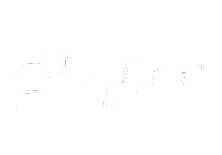 NC(=O)Oc1ccc(C(N)COc2noc3ccc(Cl)cc23)cc1